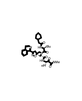 CCC[C@H](NC(=O)[C@@H]1C[C@]2(CC(c3nccc4ccccc34)=NO2)CN1C(=O)[C@@H](NC(=O)CC1CCCCC1)C(C)(C)C)C(=O)C(=O)NC